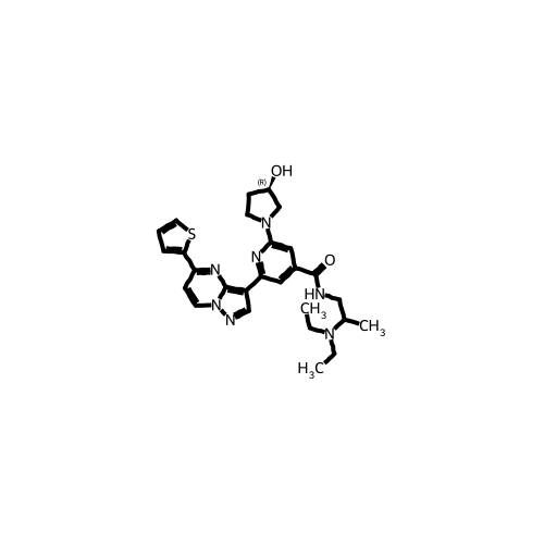 CCN(CC)C(C)CNC(=O)c1cc(-c2cnn3ccc(-c4cccs4)nc23)nc(N2CC[C@@H](O)C2)c1